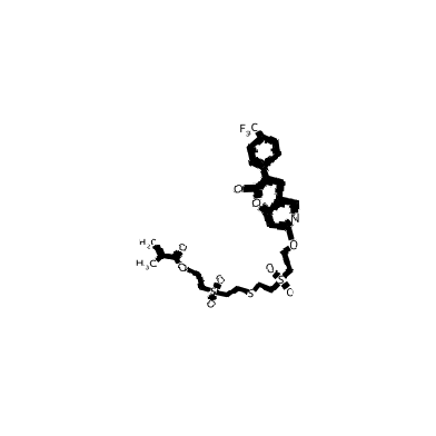 C=C(C)C(=O)OCCS(=O)(=O)CCSCCS(=O)(=O)CCOc1cc2oc(=O)c(-c3ccc(C(F)(F)F)cc3)cc2cn1